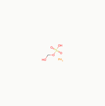 O=S(=O)(O)OCO.P